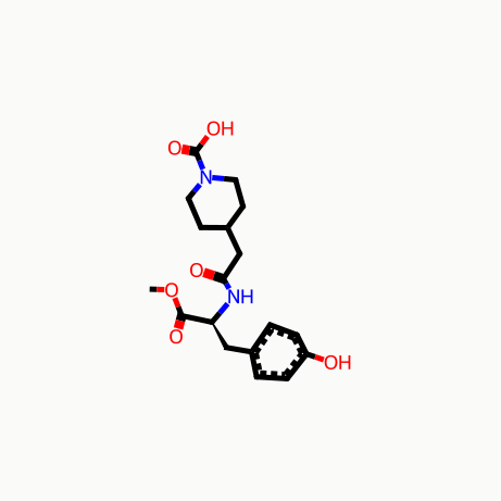 COC(=O)[C@H](Cc1ccc(O)cc1)NC(=O)CC1CCN(C(=O)O)CC1